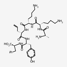 C=CC[C@H](NC(=O)[C@H](CCCCN)NC(=O)[C@H](CCCCN)NC(=O)[C@H](C)N)C(=O)N[C@H](Cc1ccc(O)cc1)C(=O)N[C@@H](CC(C)C)C(=O)O